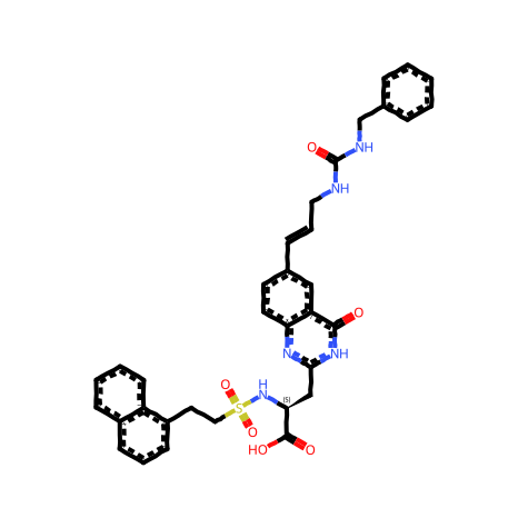 O=C(NCC=Cc1ccc2nc(C[C@H](NS(=O)(=O)CCc3cccc4ccccc34)C(=O)O)[nH]c(=O)c2c1)NCc1ccccc1